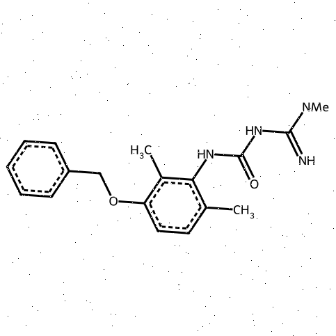 CNC(=N)NC(=O)Nc1c(C)ccc(OCc2ccccc2)c1C